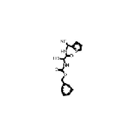 N#CC(NC(=O)C(O)NC(=O)OCc1ccccc1)c1cccs1